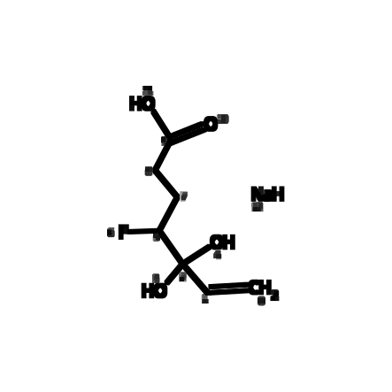 C=CC(O)(O)C(F)CCC(=O)O.[NaH]